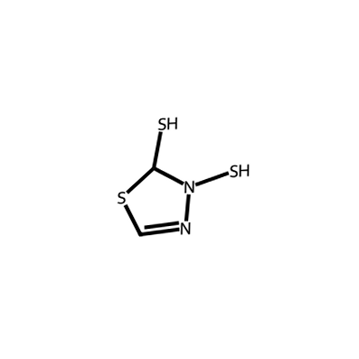 SC1SC=NN1S